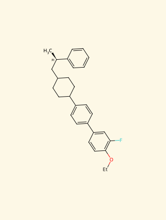 CCOc1ccc(-c2ccc(C3CCC(C[C@@H](C)c4ccccc4)CC3)cc2)cc1F